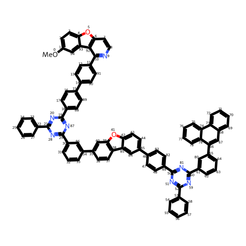 COc1ccc2oc3ccnc(-c4ccc(-c5ccc(-c6nc(-c7ccccc7)nc(-c7cccc(-c8ccc9c(c8)oc8ccc(-c%10ccc(-c%11nc(-c%12ccccc%12)nc(-c%12cccc(-c%13cc%14ccccc%14c%14ccccc%13%14)c%12)n%11)cc%10)cc89)c7)n6)cc5)cc4)c3c2c1